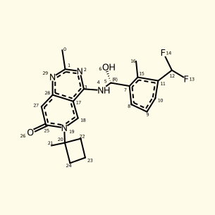 Cc1nc(N[C@H](O)c2cccc(C(F)F)c2C)c2cn(C3(C)CCC3)c(=O)cc2n1